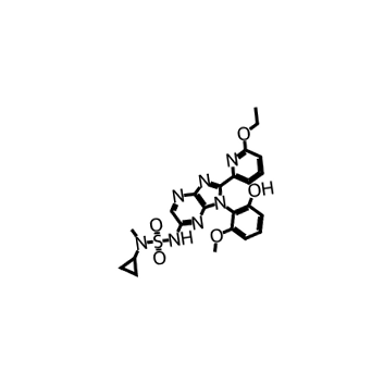 CCOC1=NC(c2nc3ncc(NS(=O)(=O)N(C)C4CC4)nc3n2-c2c(O)cccc2OC)=C=C=C1